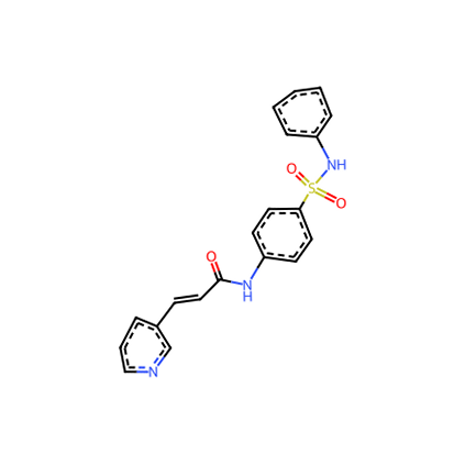 O=C(/C=C/c1cccnc1)Nc1ccc(S(=O)(=O)Nc2ccccc2)cc1